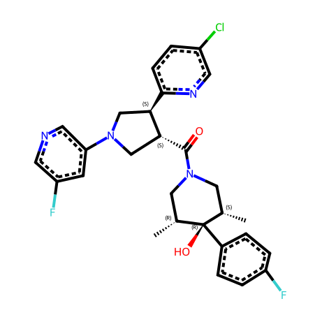 C[C@@H]1CN(C(=O)[C@@H]2CN(c3cncc(F)c3)C[C@H]2c2ccc(Cl)cn2)C[C@H](C)[C@]1(O)c1ccc(F)cc1